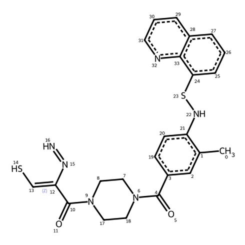 Cc1cc(C(=O)N2CCN(C(=O)/C(=C/S)N=N)CC2)ccc1NSc1cccc2cccnc12